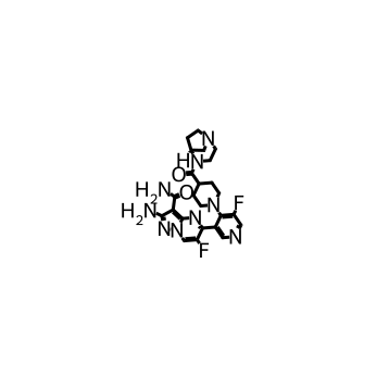 NC(=O)c1c(N)nn2cc(F)c(-c3cncc(F)c3N3CCC(C(=O)N4CCN5CC[C@@H]4C5)CC3)nc12